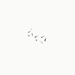 C=C(/C=C\c1ccc(CC)cc1NC)c1cc(C)cc(C)c1